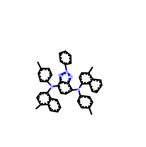 Cc1ccc(N(c2ccc(C)c3ccccc23)c2ccc(N(c3ccc(C)cc3)c3ccc(C)c4ccccc34)c3nn(-c4ccccc4)nc23)cc1